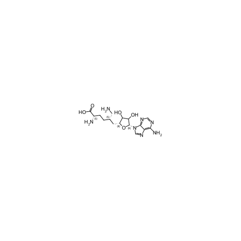 NC[C@@H](CC[C@H](N)C(=O)O)C[C@H]1O[C@@H](n2cnc3c(N)ncnc32)C(O)C1O